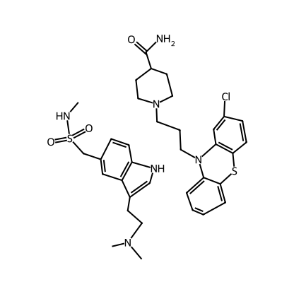 CNS(=O)(=O)Cc1ccc2[nH]cc(CCN(C)C)c2c1.NC(=O)C1CCN(CCCN2c3ccccc3Sc3ccc(Cl)cc32)CC1